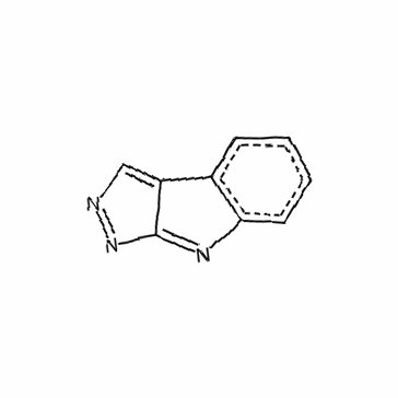 C1=C2C(=Nc3ccccc32)N=N1